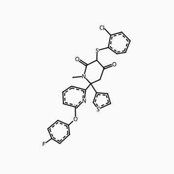 CN1C(=O)C(Sc2ccccc2Cl)C(=O)CC1(c1ccsc1)c1cccc(Oc2ccc(F)cc2)n1